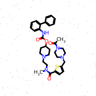 CC(=O)N1CCN(Cc2ccc(C(=O)N(C)CCN3CCC(OC(=O)Nc4ccccc4-c4ccccc4)CC3)s2)CC1